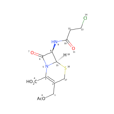 CC(=O)OCC1=C(C(=O)O)N2C(=O)[C@@H](NC(=O)CCCl)[C@H]2SC1